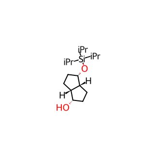 CC(C)[Si](O[C@H]1CC[C@@H]2[C@H]1CC[C@@H]2O)(C(C)C)C(C)C